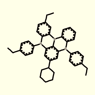 CCc1ccc(N2c3ccccc3B3c4cc(CC)ccc4N(c4ccc(CC)cc4)c4cc(C5CCCCC5)cc2c43)cc1